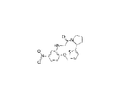 COc1ccc([N+](=O)[O-])cc1NCC(=O)N1CCCC1c1cccs1